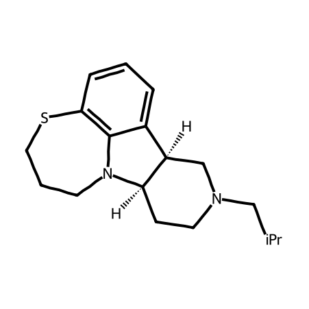 CC(C)CN1CC[C@@H]2[C@H](C1)c1cccc3c1N2CCCS3